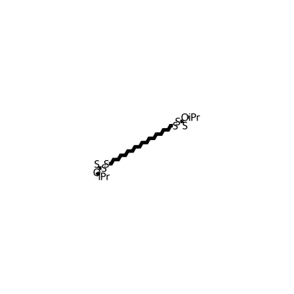 CC(C)OC(=S)SSCCCCCCCCCCCCCCCCCCSSC(=S)OC(C)C